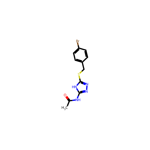 CC(=O)Nc1nnc(SCc2ccc(Br)cc2)[nH]1